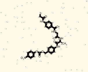 C[C@H](NC(=O)CNC(=O)c1ccc(NC(=O)CI)cc1)C(=O)Nc1ccc(COC(=O)Oc2ccc([N+](=O)[O-])cc2)cc1